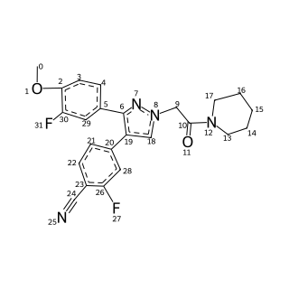 COc1ccc(-c2nn(CC(=O)N3CCCCC3)cc2-c2ccc(C#N)c(F)c2)cc1F